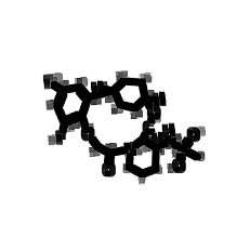 CS(=O)(=O)N[C@H]1CCCN2C(=O)COc3c(F)cc(F)cc3[C@H]3CC[C@H](CC3)OC[C@@H]12